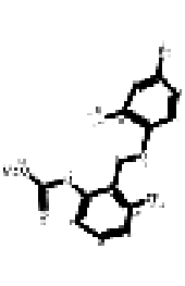 CCc1ccc(OCc2c(OC(=O)OC)cccc2C(F)(F)F)c(C(F)(F)F)c1